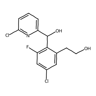 OCCc1cc(Cl)cc(F)c1C(O)c1cccc(Cl)n1